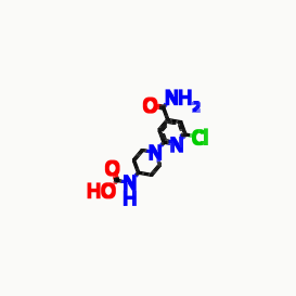 NC(=O)c1cc(Cl)nc(N2CCC(NC(=O)O)CC2)c1